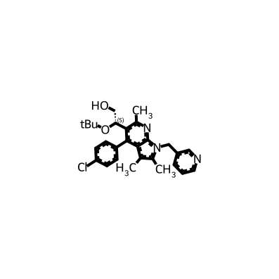 Cc1nc2c(c(C)c(C)n2Cc2cccnc2)c(-c2ccc(Cl)cc2)c1[C@@H](CO)OC(C)(C)C